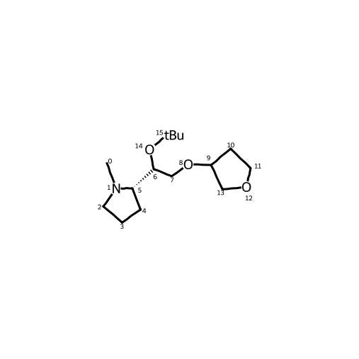 CN1CCC[C@H]1C(COC1CCOC1)OC(C)(C)C